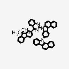 CC1(C)c2ccccc2-c2ccc(-c3nc(-n4c5cc(-n6c7ccccc7c7ccc8ccccc8c76)ccc5c5c6ccccc6ccc54)nc4ccccc34)cc21